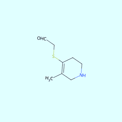 CC1=C(SCC=O)CCNC1